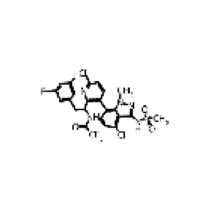 Cn1nc(NS(C)(=O)=O)c2c(Cl)ccc(-c3ccc(Cl)nc3C(Cc3cc(F)cc(F)c3)NC(=O)C(F)(F)F)c21